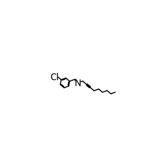 CCCCCCC#CCN=Cc1cccc(Cl)c1